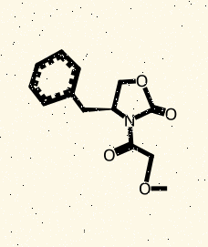 COCC(=O)N1C(=O)OC[C@@H]1Cc1ccccc1